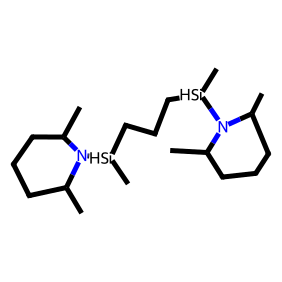 CC1CCCC(C)N1[SiH](C)CCC[SiH](C)N1C(C)CCCC1C